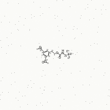 O=C(NSC(F)(F)F)OCCc1cc(C2CO2)cc(C2CO2)c1